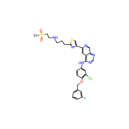 CCS(=O)(=O)CCNCCCc1nc(-c2cc3c(Nc4ccc(OCc5cccc(F)c5)c(Cl)c4)ncnc3cn2)cs1